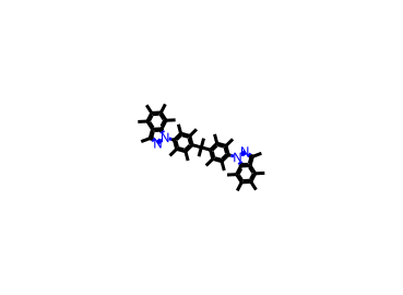 Cc1c(C)c(C(C)(C)c2c(C)c(C)c(-n3nc(C)c4c(C)c(C)c(C)c(C)c43)c(C)c2C)c(C)c(C)c1-n1nc(C)c2c(C)c(C)c(C)c(C)c21